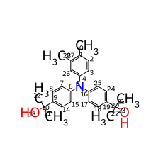 Cc1ccc(N(c2ccc(C(C)(C)O)cc2)c2ccc(C(C)(C)O)cc2)cc1C